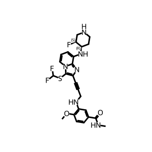 CNC(=O)c1ccc(OC)c(NCC#Cc2nc3c(N[C@@H]4CCNC[C@@H]4F)cccn3c2SC(F)F)c1